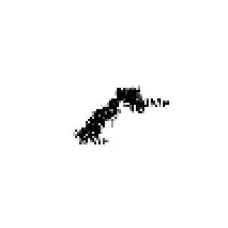 COC(=O)N[C@@H](C)C(=O)N1[C@@H](C)CC[C@H]1c1nc2ccc3cc4c(cc3c2[nH]1)OCc1cc(-c2cnc([C@@H]3CC[C@H](C)N3C(=O)[C@@H](NC(=O)OC)C(C)C)[nH]2)ccc1-4